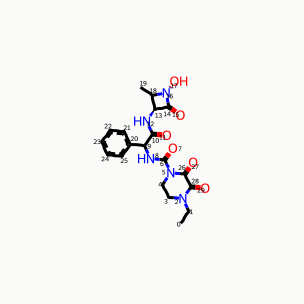 CCN1CCN(C(=O)NC(C(=O)N[C@@H]2C(=O)N(O)C2C)c2ccccc2)C(=O)C1=O